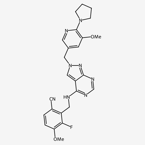 COc1cc(Cn2cc3c(NCc4c(C#N)ccc(OC)c4F)ncnc3n2)cnc1N1CCCC1